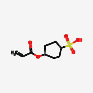 C=CC(=O)OC1CCC(S(=O)(=O)O)CC1